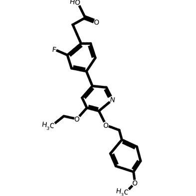 CCOc1cc(-c2ccc(CC(=O)O)c(F)c2)cnc1OCc1ccc(OC)cc1